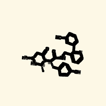 CCCN1CC(=O)N([C@@H](Cc2ccc(O)cc2)C(=O)NCc2cccnc2-c2cccc(C#N)c2)[C@H](C)N1